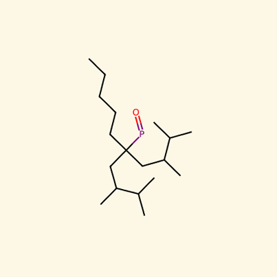 CCCCCC(CC(C)C(C)C)(CC(C)C(C)C)P=O